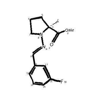 COC(=O)[C@]1(C)CCCN1/N=C/c1cccc(F)c1